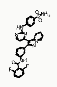 NS(=O)(=O)c1ccc(Nc2nccc(-c3c(-c4cccc(NC(=O)c5c(F)cccc5F)c4)nn4ccccc34)n2)cc1